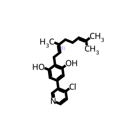 CC(C)=CCC/C(C)=C/Cc1c(O)cc(-c2cnccc2Cl)cc1O